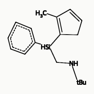 CC1=C([SiH](CNC(C)(C)C)c2ccccc2)CC=C1